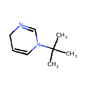 CC(C)(C)N1C=CCN=C1